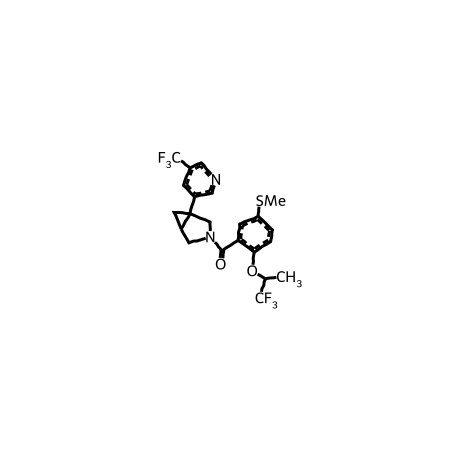 CSc1ccc(OC(C)C(F)(F)F)c(C(=O)N2CC3CC3(c3cncc(C(F)(F)F)c3)C2)c1